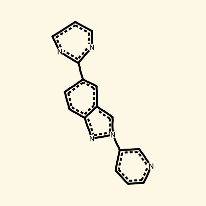 c1cnc(-c2ccc3nn(-c4cccnc4)cc3c2)nc1